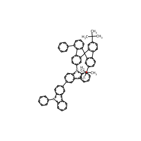 CC(C)(C)c1ccc2c(c1)C1(c3cc(C(C)(C)C)ccc3-2)c2cc(-n3c4ccccc4c4cc(-c5ccc6c(c5)c5ccccc5n6-c5ccccc5)ccc43)ccc2-c2c(-c3ccccc3)cccc21